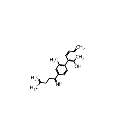 C=C/C=C\C(=C(/C)O)c1ccc(C(=N)CCC(=C)C)cc1C